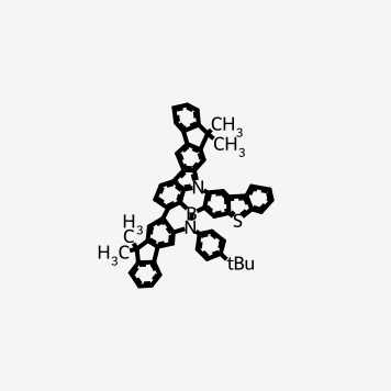 CC(C)(C)c1ccc(N2B3c4cc5sc6ccccc6c5cc4-n4c5cc6c(cc5c5ccc(c3c54)-c3cc4c(cc32)-c2ccccc2C4(C)C)-c2ccccc2C6(C)C)cc1